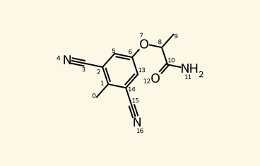 Cc1c(C#N)cc(OC(C)C(N)=O)cc1C#N